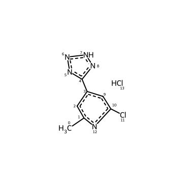 Cc1cc(-c2nn[nH]n2)cc(Cl)n1.Cl